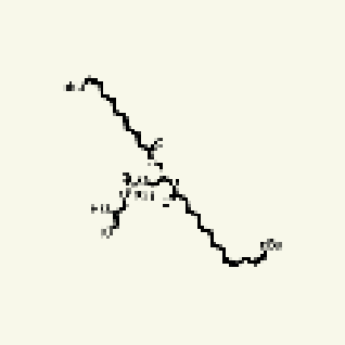 CCCC/C=C\C/C=C\CCCCCCCC(=O)O[C@H](COC(=O)CCCCCCC/C=C\CCCC)COP(=O)(O)OC[C@@H](O)CO